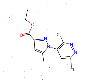 CCOC(=O)c1cc(C)n(-c2cc(Cl)nnc2Cl)n1